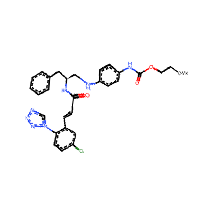 COCCOC(=O)Nc1ccc(NC[C@H](Cc2ccccc2)NC(=O)/C=C/c2cc(Cl)ccc2-n2cnnn2)cc1